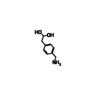 NCc1ccc(CC(O)O)cc1